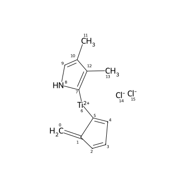 C=C1C=CC=[C]1[Ti+2][c]1[nH]cc(C)c1C.[Cl-].[Cl-]